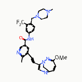 COC1=NN2CC(=NC=C2C#Cc2cc(C(=O)Nc3ccc(CN4CCN(C)CC4)c(C(F)(F)F)c3)cnc2C)C=C1